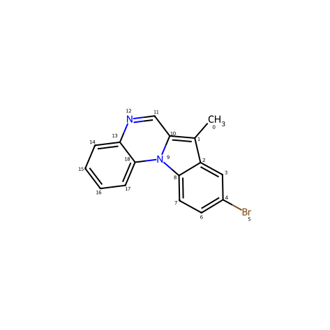 Cc1c2cc(Br)ccc2n2c1cnc1ccccc12